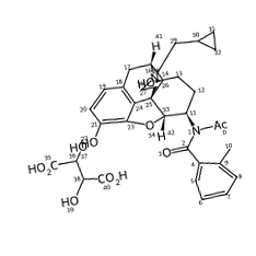 CC(=O)N(C(=O)c1ccccc1C)[C@@H]1CC[C@@]2(O)[C@H]3Cc4ccc(O)c5c4[C@@]2(CCN3CC2CC2)[C@H]1O5.O=C(O)C(O)C(O)C(=O)O